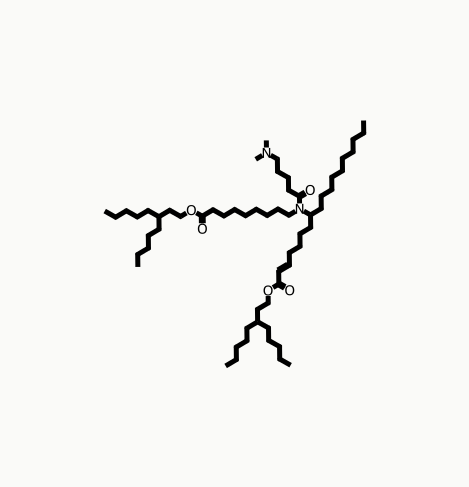 CCCCCCCCCCC(CCCCC=CC(=O)OCCC(CCCCC)CCCCC)N(CCCCCCCCC(=O)OCCC(CCCCC)CCCCC)C(=O)CCCCN(C)C